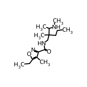 CCCC(C)(CNC(=O)c1noc(CC)c1C)C(C)NC